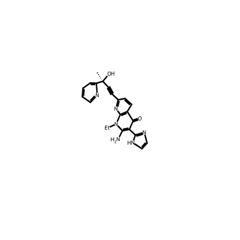 CCn1c(N)c(-c2ncc[nH]2)c(=O)c2ccc(C#C[C@](C)(O)c3ccccn3)nc21